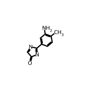 Cc1ccc(C2=NC(=O)C=N2)cc1N